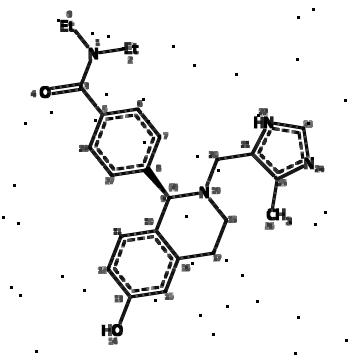 CCN(CC)C(=O)c1ccc([C@@H]2c3ccc(O)cc3CCN2Cc2[nH]cnc2C)cc1